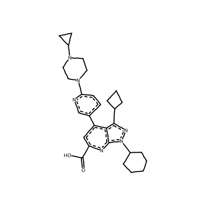 O=C(O)c1cc(-c2ccc(N3CCN(C4CC4)CC3)nc2)c2c(C3CCC3)nn(C3CCCCC3)c2n1